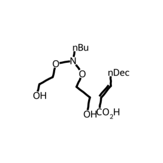 CCCCCCCCCCC=CC(=O)O.CCCCN(OCCO)OCCO